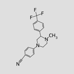 CN1CCN(c2ccc(C#N)cc2)CC1c1ccc(C(F)(F)F)cc1